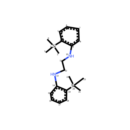 C[Si](C)(C)c1ccccc1NCCNc1ccccc1[Si](C)(C)C